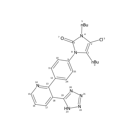 CCCCc1c(Cl)n(CCCC)c(=O)n1-c1ccc(-c2ncccc2-c2nnn[nH]2)cc1